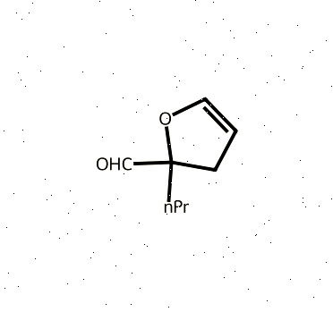 CCCC1(C=O)CC=CO1